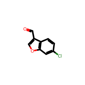 O=Cc1coc2cc(Cl)ccc12